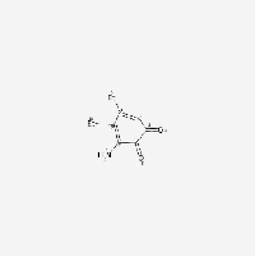 CCC1=CC(=O)C(=O)C(N)=C1CC